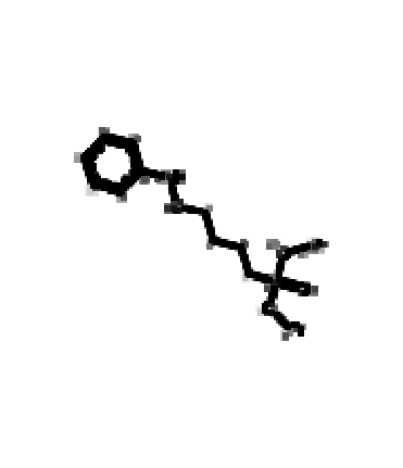 CC(C)OP(=O)(CCCCONc1ccccc1)OC(C)C